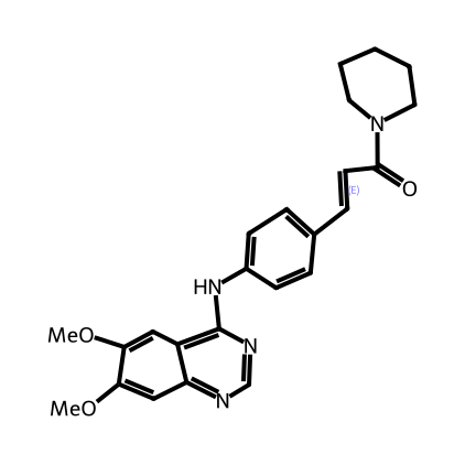 COc1cc2ncnc(Nc3ccc(/C=C/C(=O)N4CCCCC4)cc3)c2cc1OC